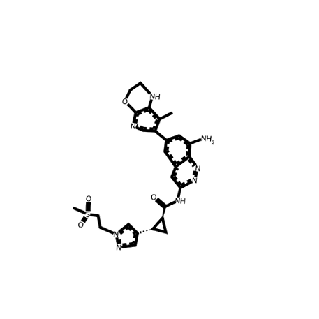 Cc1c(-c2cc(N)c3nnc(NC(=O)[C@H]4C[C@@H]4c4cnn(CCS(C)(=O)=O)c4)cc3c2)cnc2c1NCCO2